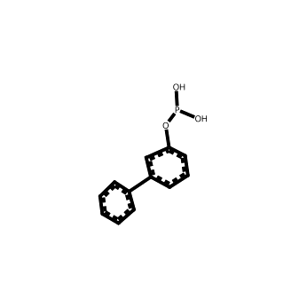 OP(O)Oc1cccc(-c2ccccc2)c1